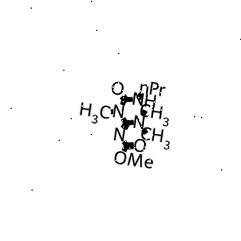 CCCNC(=O)N(C)C(=NC(=O)OC)N(C)C